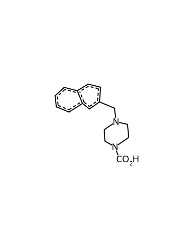 O=C(O)N1CCN(Cc2ccc3ccccc3c2)CC1